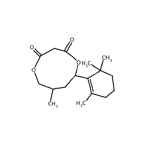 CC1=C(C2CC(C)COC(=O)CC(=O)O2)C(C)(C)CCC1